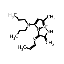 C=c1[nH][n+]2c(C)cc(N(CCC)CCC)n2/c1=N/C=C\C